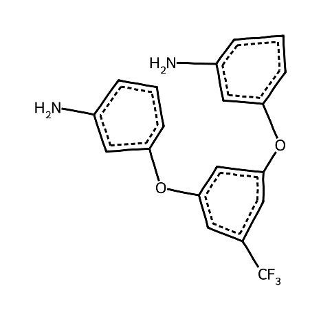 Nc1cccc(Oc2cc(Oc3cccc(N)c3)cc(C(F)(F)F)c2)c1